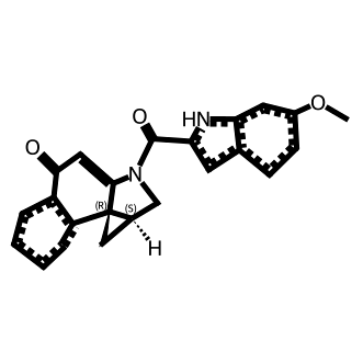 COc1ccc2cc(C(=O)N3C[C@H]4C[C@@]45C3=CC(=O)c3ccccc35)[nH]c2c1